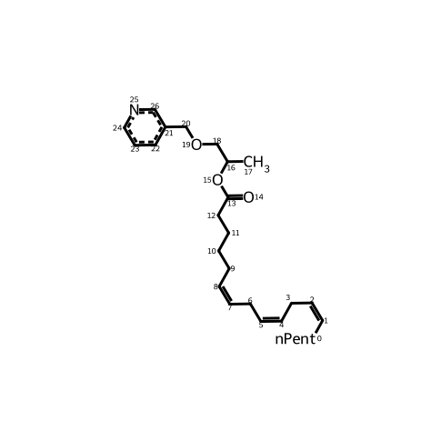 CCCCC/C=C\C/C=C\C/C=C\CCCCC(=O)OC(C)COCc1cccnc1